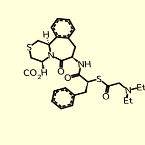 CCN(CC)CC(=O)S[C@@H](Cc1ccccc1)C(=O)N[C@@H]1Cc2ccccc2[C@@H]2CSC[C@H](C(=O)O)N2C1=O